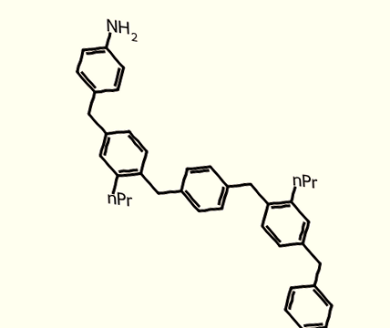 CCCc1cc(Cc2ccc(N)cc2)ccc1Cc1ccc(Cc2ccc(Cc3ccc(N)cc3)cc2CCC)cc1